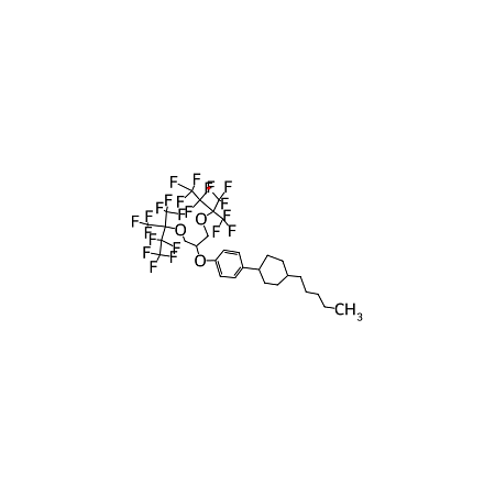 CCCCCC1CCC(c2ccc(OC(COC(C(F)(F)F)(C(F)(F)F)C(F)(F)C(F)(F)F)COC(C(F)(F)F)(C(F)(F)F)C(F)(F)C(F)(F)F)cc2)CC1